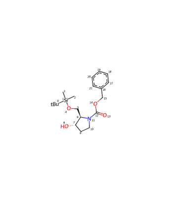 CC(C)(C)[Si](C)(C)OC[C@@H]1[C@@H](O)CCN1C(=O)OCc1ccccc1